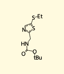 CCSc1cnc(CNC(=O)OC(C)(C)C)s1